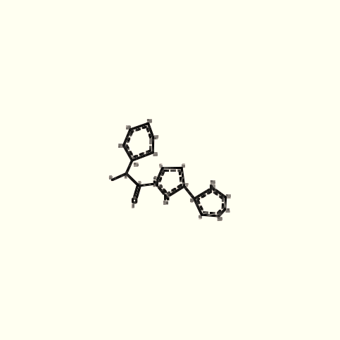 CC(C(=O)n1ccc(-c2ccccn2)n1)c1ccccc1